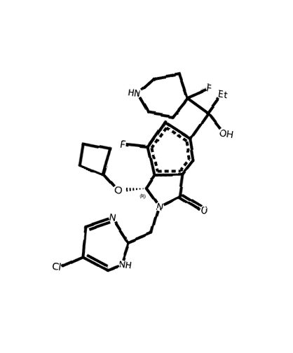 CCC(O)(c1cc(F)c2c(c1)C(=O)N(CC1N=CC(Cl)=CN1)[C@@H]2OC1CCC1)C1(F)CCNCC1